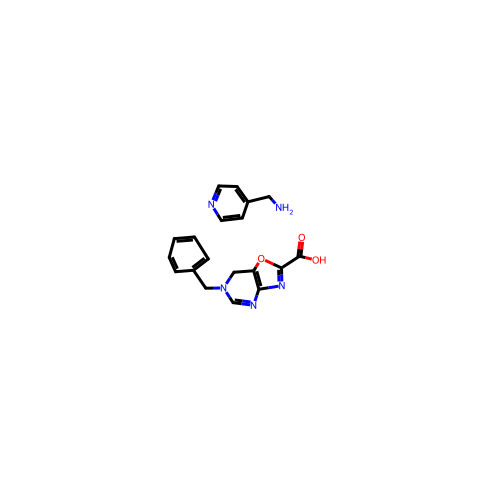 NCc1ccncc1.O=C(O)c1nc2c(o1)CN(Cc1ccccc1)C=N2